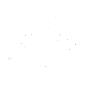 CNc1nc(N2CC3CN(Cc4ccc5c(cc(C#N)n5C[C@H](C)N5CCN(S(=O)(=O)NC)CC5)c4C)CC3C2)c2cc(CC(F)(F)F)sc2n1